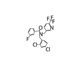 O=C(c1cccc(F)c1)N(Cc1ccc(C(F)(F)F)nc1)Cc1ccc(Cl)cc1Cl